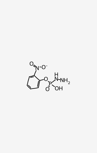 NNP(=O)(O)Oc1ccccc1[N+](=O)[O-]